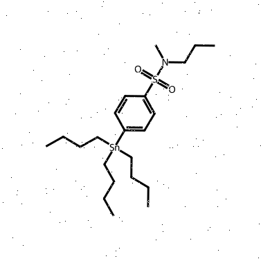 CCC[CH2][Sn]([CH2]CCC)([CH2]CCC)[c]1ccc(S(=O)(=O)N(C)CCC)cc1